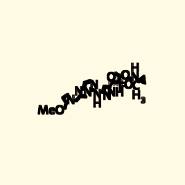 COCC1CCN1Cc1cn2c(Nc3cc([C@H]4OC[C@@H](OC(=O)NC5(C)CC5)[C@@H]4F)[nH]n3)nccc2n1